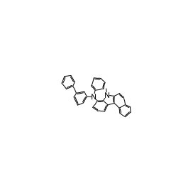 Cn1c2ccc3ccccc3c2c2cccc(N(c3ccccc3)c3cccc(-c4ccccc4)c3)c21